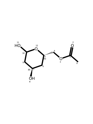 CC(=O)OC[C@@H]1C[C@@H](O)CC(O)O1